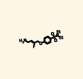 CCN(CC)S(=O)(=O)c1ccc(OCC(F)=CCN)cc1